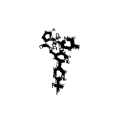 C[C@H]1CC[C@@H](C(=O)NCc2cc(-c3cnc(C(F)(F)F)nc3)ncc2Cl)N1S(=O)(=O)c1ccc(F)cn1